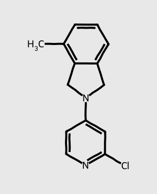 Cc1cccc2c1CN(c1ccnc(Cl)c1)C2